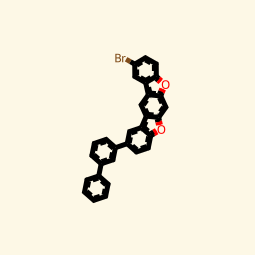 Brc1ccc2oc3cc4oc5ccc(-c6cccc(-c7ccccc7)c6)cc5c4cc3c2c1